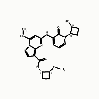 CNc1cc(Nc2cccn([C@@H]3CC[C@@H]3O)c2=O)nc2c(C(=O)N[C@H]3CC[C@@H]3OC)cnn12